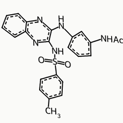 CC(=O)Nc1cccc(Nc2nc3ccccc3nc2NS(=O)(=O)c2ccc(C)cc2)c1